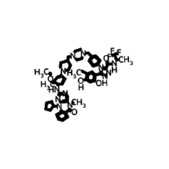 CCOC1(C)C=C(N2CCC(CN3CCN(Cc4ccc(-n5c(C(=O)NC(C)C(F)(F)F)nnc5-c5cc(CC)c(O)cc5O)cc4)CC3)CC2)C=CC1Nc1ncc2c(n1)N(C1CCCC1)c1ccccc1C(=O)N2C